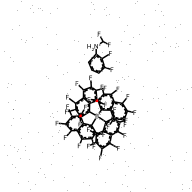 Fc1c(F)c(F)c2c([B-](c3c(F)c(F)c(F)c4c(F)c(F)c(F)c(F)c34)(c3c(F)c(F)c(F)c4c(F)c(F)c(F)c(F)c34)c3c(F)c(F)c(F)c4c(F)c(F)c(F)c(F)c34)c(F)c(F)c(F)c2c1F.Fc1cccc([NH2+]C(F)F)c1F